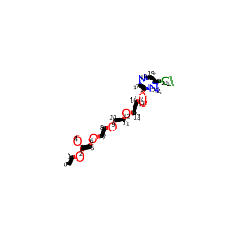 CCOC(=O)COCCOCCOCCOc1cncc(Cl)n1